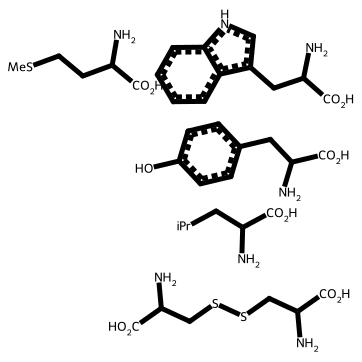 CC(C)CC(N)C(=O)O.CSCCC(N)C(=O)O.NC(CSSCC(N)C(=O)O)C(=O)O.NC(Cc1c[nH]c2ccccc12)C(=O)O.NC(Cc1ccc(O)cc1)C(=O)O